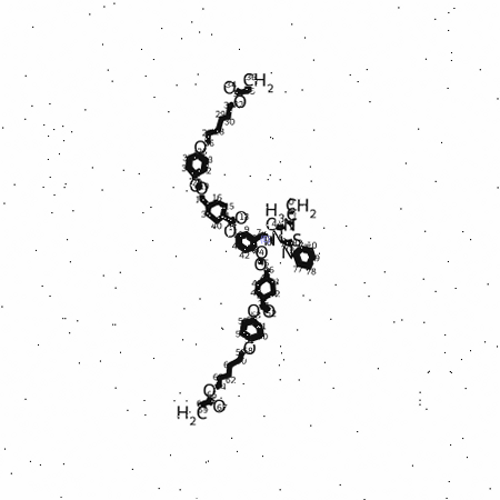 C=C=NC(C)N(/N=C/c1cc(OC(=O)C2CCC(COOc3ccc(OCCCCCCOC(=O)C=C)cc3)CC2)ccc1OOCC1CCC(C(=O)Oc2ccc(OCCCCCCOC(=O)C=C)cc2)CC1)c1nc2ccccc2s1